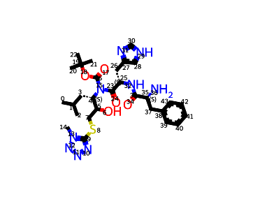 CC(C)C[C@@H](C(O)CSc1nnnn1C)N(C(=O)OC(C)(C)C)C(=O)[C@H](Cc1c[nH]cn1)NC(=O)[C@@H](N)Cc1ccccc1